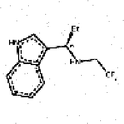 CC[C@@H](NCC(F)(F)F)c1c[nH]c2ccccc12